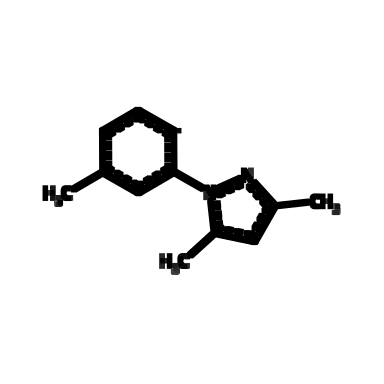 Cc1cc[c]c(-n2nc(C)cc2C)c1